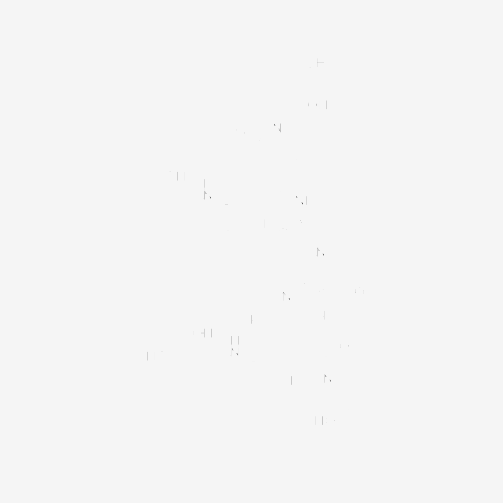 CN(C(=O)CN(CCO)CC(=O)Nc1c(I)c(C(=O)NCC(O)CO)c(I)c(C(=O)NCC(O)CO)c1I)c1c(I)c(C(=O)NCC(O)CO)c(I)c(C(=O)NCC(O)CO)c1I